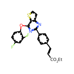 CCOC(=O)/C=C/c1ccc(-c2nc(Oc3ccc(F)cc3F)c3sccc3n2)cc1